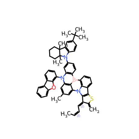 C=c1sc2c3cccc4c3n(c2/c1=C/C=C\C)-c1cc(C)cc2c1B4c1ccc(N3c4ccc(C(C)(C)C)cc4C4(C)CCCCC34C)cc1N2c1cccc2c1oc1ccccc12